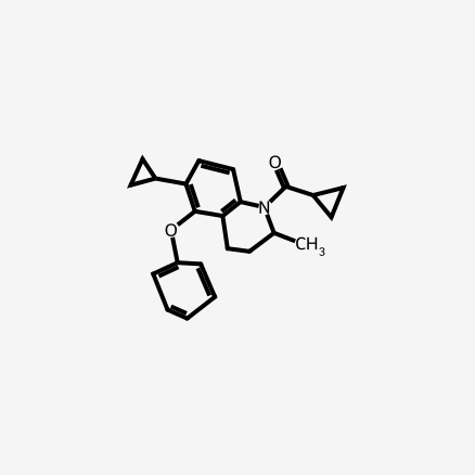 CC1CCc2c(ccc(C3CC3)c2Oc2ccccc2)N1C(=O)C1CC1